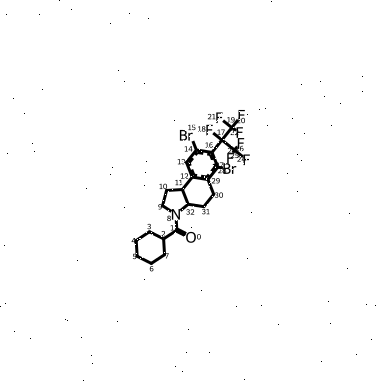 O=C(C1CCCCC1)N1CCC2c3cc(Br)c(C(F)(C(F)(F)F)C(F)(F)F)c(Br)c3CCC21